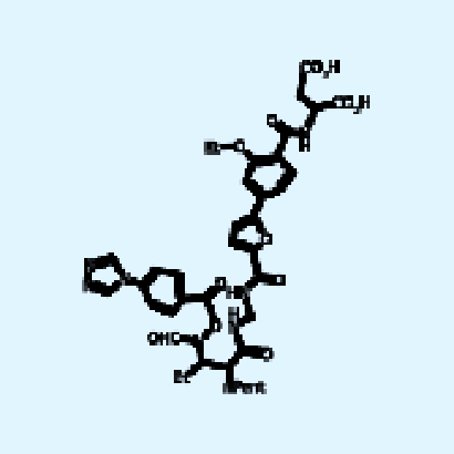 CCCCCC(C(=O)NCNC(=O)c1ccc(-c2ccc(C(=O)NC(CC(=O)O)C(=O)O)c(OCC)c2)o1)C(CC)N(C=O)OC(=O)c1ccc(-n2cnnc2)cc1